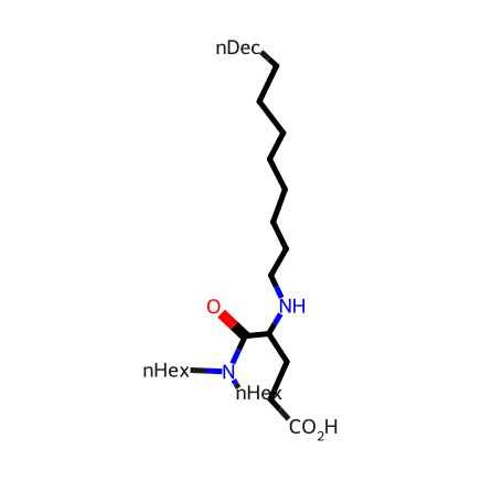 CCCCCCCCCCCCCCCCCCNC(CCC(=O)O)C(=O)N(CCCCCC)CCCCCC